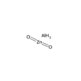 [AlH3].[O]=[Zn]=[O]